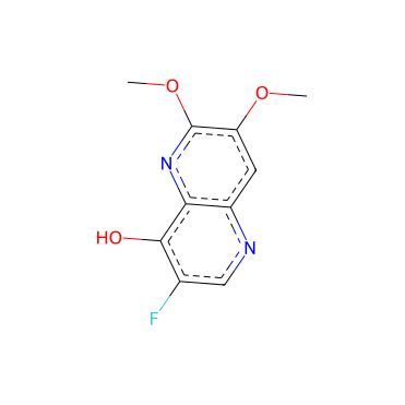 COc1cc2ncc(F)c(O)c2nc1OC